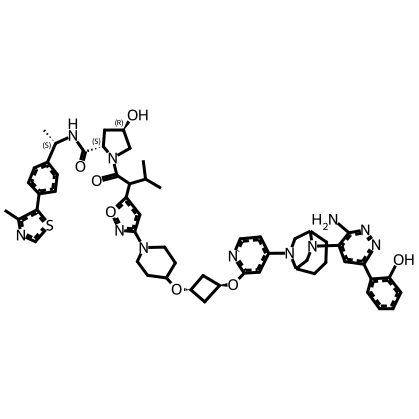 Cc1ncsc1-c1ccc([C@H](C)NC(=O)[C@@H]2C[C@@H](O)CN2C(=O)C(c2cc(N3CCC(O[C@H]4C[C@H](Oc5cc(N6CC7CCCC6CN7c6cc(-c7ccccc7O)nnc6N)ccn5)C4)CC3)no2)C(C)C)cc1